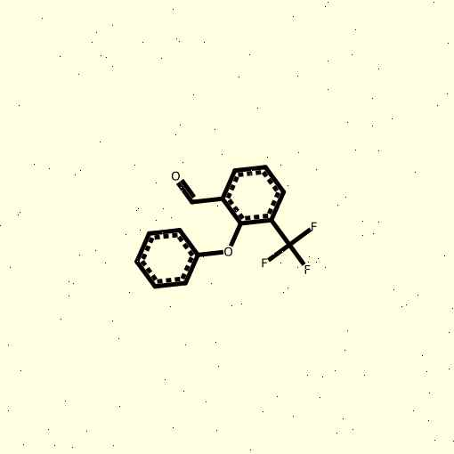 O=Cc1cccc(C(F)(F)F)c1Oc1ccccc1